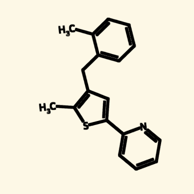 Cc1ccccc1Cc1cc(-c2ccccn2)sc1C